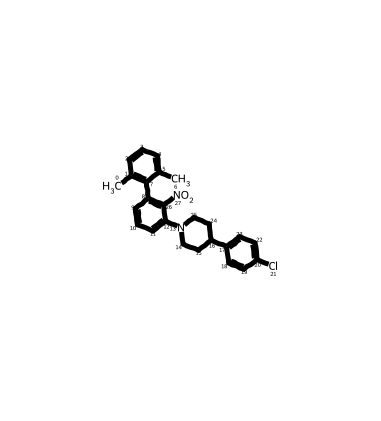 Cc1cccc(C)c1-c1cccc(N2CCC(c3ccc(Cl)cc3)CC2)c1[N+](=O)[O-]